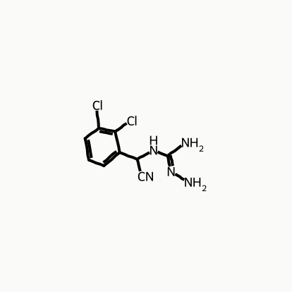 N#CC(NC(N)=NN)c1cccc(Cl)c1Cl